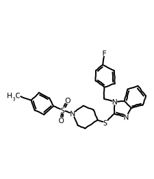 Cc1ccc(S(=O)(=O)N2CCC(Sc3nc4ccccc4n3Cc3ccc(F)cc3)CC2)cc1